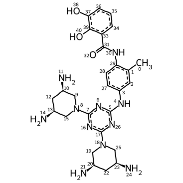 Cc1cc(Nc2nc(N3C[C@H](N)C[C@H](N)C3)nc(N3C[C@H](N)C[C@H](N)C3)n2)ccc1NC(=O)c1cccc(O)c1O